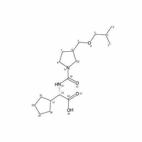 CC(C)COCC1CCN(C(=O)N[C@H](C(=O)O)C2CCCC2)C1